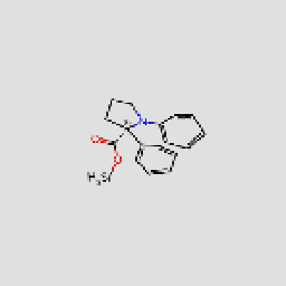 O=C(O[SiH3])[C@]1(c2ccccc2)CCCN1c1ccccc1